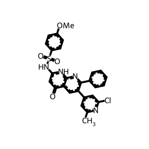 COc1ccc(S(=O)(=O)Nc2cc(=O)c3cc(-c4cc(C)nc(Cl)c4)c(-c4ccccc4)nc3[nH]2)cc1